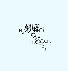 COc1nc(-c2nc(C(C)(C)C)[nH]c2-c2ccnc(NCC(C)NC(=O)OC(C)C)n2)cnc1N